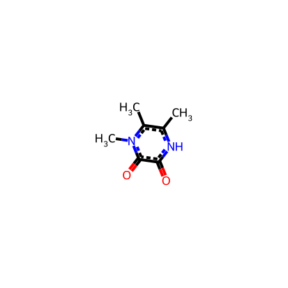 Cc1[nH]c(=O)c(=O)n(C)c1C